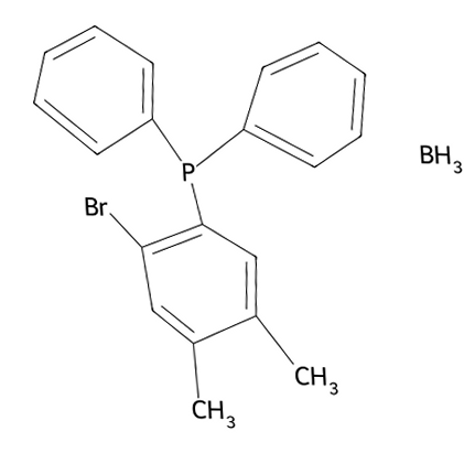 B.Cc1cc(Br)c(P(c2ccccc2)c2ccccc2)cc1C